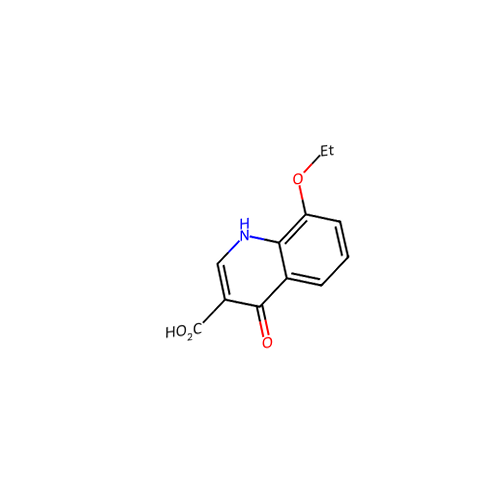 CCOc1cccc2c(=O)c(C(=O)O)c[nH]c12